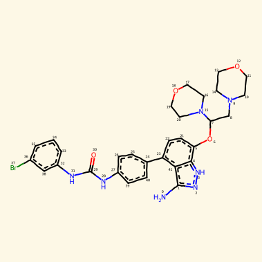 Nc1n[nH]c2c(OC(CN3CCOCC3)N3CCOCC3)ccc(-c3ccc(NC(=O)Nc4cccc(Br)c4)cc3)c12